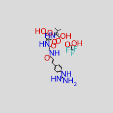 CC(C)[C@H](NC(=O)[C@H](CC(=O)O)NC(=O)CNC(=O)C=Cc1ccc(NC(=N)N)cc1)C(=O)O.O=C(O)C(F)(F)F